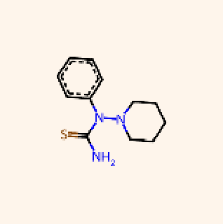 NC(=S)N(c1ccccc1)N1CCCCC1